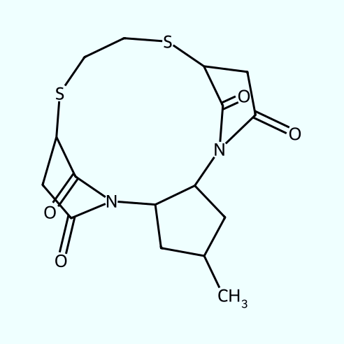 CC1CC2C(C1)N1C(=O)CC(SCCSC3CC(=O)N2C3=O)C1=O